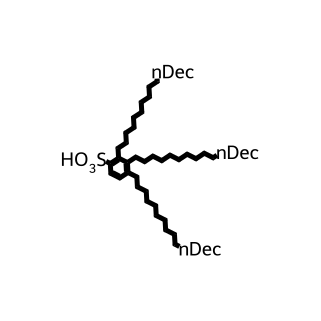 CCCCCCCCCCCCCCCCCCCCc1ccc(S(=O)(=O)O)c(CCCCCCCCCCCCCCCCCCCC)c1CCCCCCCCCCCCCCCCCCCC